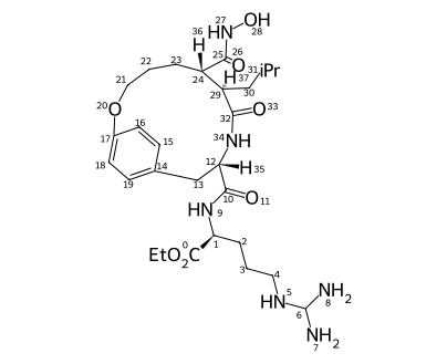 CCOC(=O)[C@H](CCCNC(N)N)NC(=O)[C@@H]1Cc2ccc(cc2)OCCC[C@H](C(=O)NO)[C@@H](CC(C)C)C(=O)N1